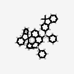 CC1(C)c2ccccc2-c2cc(N(c3ccccc3)c3cc4c5c6c(cccc36)C3(c6ccccc6-c6ccccc63)c3cccc(c35)n4-c3ccccc3)ccc21